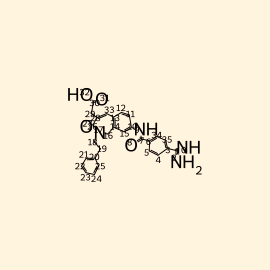 N=C(N)c1ccc(C(=O)Nc2ccc3c(c2)CN(CCc2ccccc2)C(=O)C(CC(=O)O)=C3)cc1